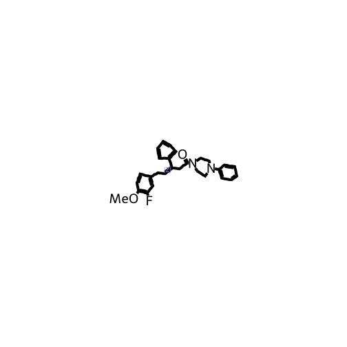 COc1ccc(C/C=C(/CC(=O)N2CCN(c3ccccc3)CC2)c2ccccc2)cc1F